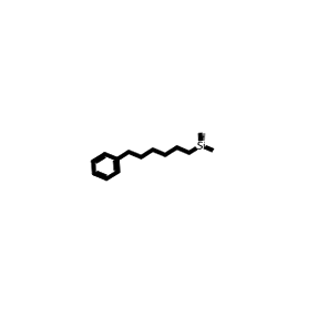 C[SiH](C)CCCCCCc1ccccc1